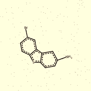 Nc1ccc2sc3ccc(Br)cc3c2c1